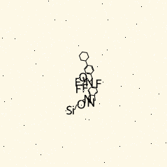 C[Si](C)(C)CCOCn1ncc2cc(F)c(N(Cc3ccc(C4CCCCC4)cc3)C(=O)C(F)(F)F)cc21